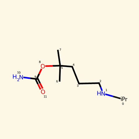 CC(C)NCCCC(C)(C)OC(N)=O